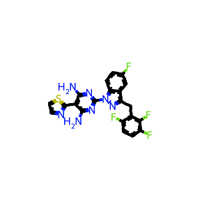 Nc1nc(-n2nc(Cc3c(F)ccc(F)c3F)c3cc(F)ccc32)nc(N)c1-c1nccs1